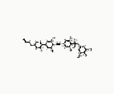 C=CCCc1ccc(C2=CC(F)C(C#Cc3cc(F)c(C(F)(F)Oc4cc(Cl)c(F)c(Cl)c4)c(F)c3)C(F)=C2)c(F)c1